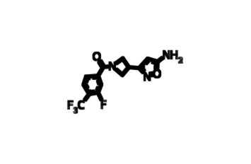 Nc1cc(C2CN(C(=O)c3ccc(C(F)(F)F)c(F)c3)C2)no1